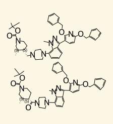 C[C@@H]1CN(C(=O)OC(C)(C)C)CC[C@@H]1C(=O)N1CCN(c2cccc3c(-c4ccc(OCc5ccccc5)nc4OCc4ccccc4)nn(C)c23)CC1.C[C@@H]1CN(C(=O)OC(C)(C)C)CC[C@@H]1CN1CCN(c2cccc3c(-c4ccc(OCc5ccccc5)nc4OCc4ccccc4)nn(C)c23)CC1